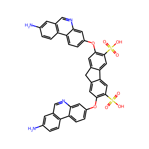 Nc1ccc2c(cnc3cc(Oc4cc5c(cc4S(=O)(=O)O)-c4cc(S(=O)(=O)O)c(Oc6ccc7c(c6)ncc6cc(N)ccc67)cc4C5)ccc32)c1